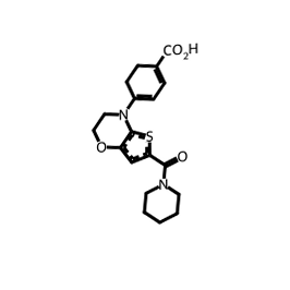 O=C(O)C1=CC=C(N2CCOc3cc(C(=O)N4CCCCC4)sc32)CC1